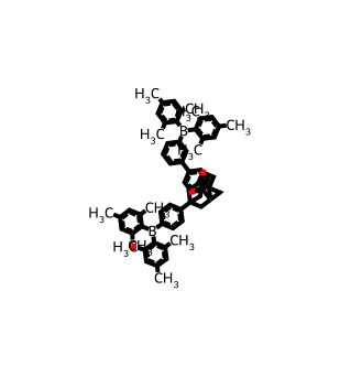 Cc1cc(C)c(B(c2ccc(C34CC5CC6(CC6(c6ccc(-c7cccc(B(c8c(C)cc(C)cc8C)c8c(C)cc(C)cc8C)c7)cc6)C3)C5C4)cc2)c2c(C)cc(C)cc2C)c(C)c1